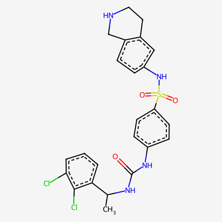 CC(NC(=O)Nc1ccc(S(=O)(=O)Nc2ccc3c(c2)CCNC3)cc1)c1cccc(Cl)c1Cl